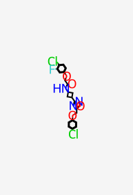 O=C(COc1ccc(Cl)c(F)c1)NC1CC(c2noc(COc3ccc(Cl)cc3)n2)C1